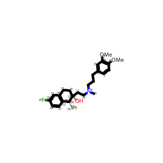 COc1ccc(CCCN(C)CC[C@]2(O)CCc3cc(F)ccc3[C@H]2C(C)C)cc1OC